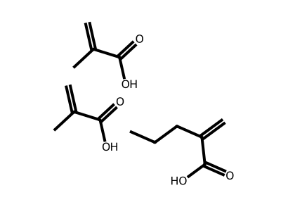 C=C(C)C(=O)O.C=C(C)C(=O)O.C=C(CCC)C(=O)O